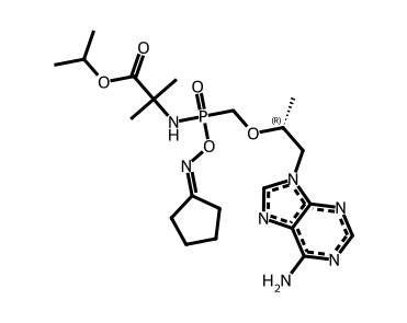 CC(C)OC(=O)C(C)(C)NP(=O)(CO[C@H](C)Cn1cnc2c(N)ncnc21)ON=C1CCCC1